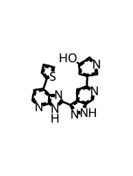 Oc1cncc(-c2cc3c(-c4nc5c(-c6cccs6)ccnc5[nH]4)n[nH]c3cn2)c1